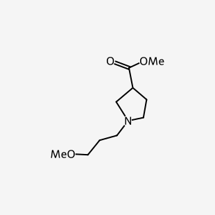 COCCCN1CCC(C(=O)OC)C1